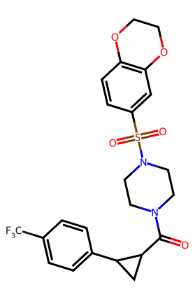 O=C(C1CC1c1ccc(C(F)(F)F)cc1)N1CCN(S(=O)(=O)c2ccc3c(c2)OCCO3)CC1